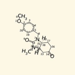 COc1ccc(CN2C(=O)N(C)[C@H]3CC(=O)CC[C@@H]32)cc1